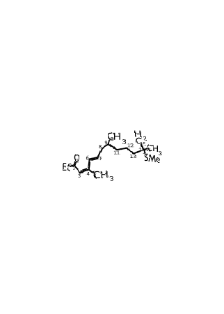 CCC(=O)C=C(C)C=CCC(C)CCCC(C)(C)SC